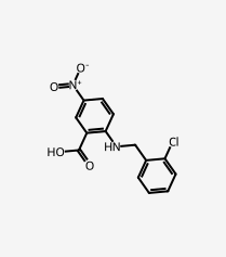 O=C(O)c1cc([N+](=O)[O-])ccc1NCc1ccccc1Cl